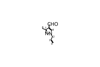 C=CCn1cc(C=O)c(C)n1